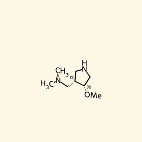 CO[C@H]1CNC[C@H]1CN(C)C